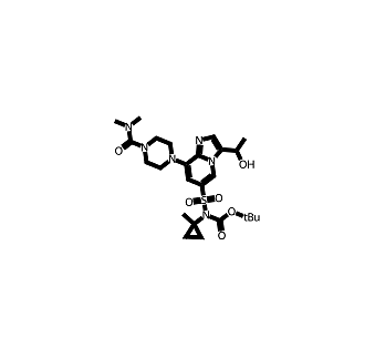 CC(O)c1cnc2c(N3CCN(C(=O)N(C)C)CC3)cc(S(=O)(=O)N(C(=O)OC(C)(C)C)C3(C)CC3)cn12